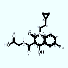 O=C(O)CNC(=O)c1c(O)c2cc(F)ccc2n(CCC2CC2)c1=O